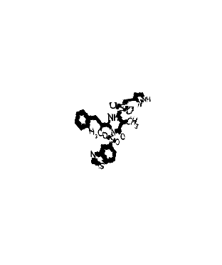 CC(CS(=O)(=O)Cc1cc[nH]n1)C(=O)N([C@H](N)[C@@H](C)Cc1ccccc1)S(=O)(=O)c1ccc2scnc2c1